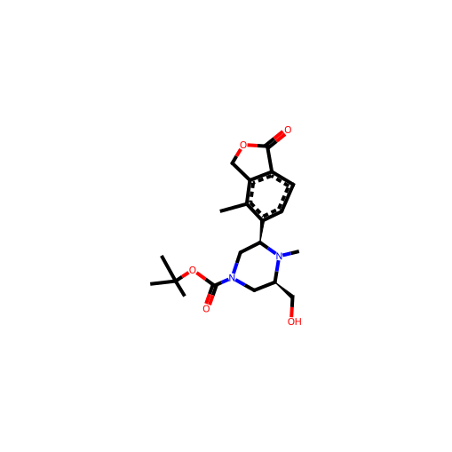 Cc1c([C@@H]2CN(C(=O)OC(C)(C)C)C[C@H](CO)N2C)ccc2c1COC2=O